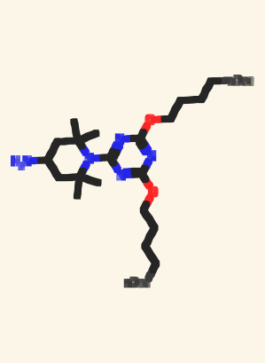 CCCCCCCCCCCCCCOc1nc(OCCCCCCCCCCCCCC)nc(N2C(C)(C)CC(N)CC2(C)C)n1